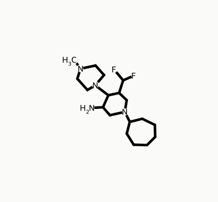 CN1CCN(C2C(N)CN(C3CCCCCC3)CC2C(F)F)CC1